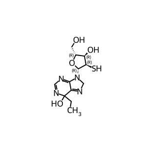 CCC1(O)N=CN=C2C1=NCN2[C@@H]1O[C@H](CO)[C@@H](O)[C@H]1S